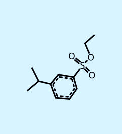 CCOS(=O)(=O)c1cccc(C(C)C)c1